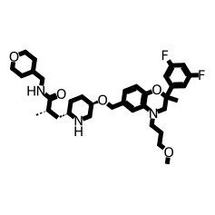 COCCCN1CC(C)(c2cc(F)cc(F)c2)Oc2ccc(CO[C@@H]3CC[C@@H](C[C@H](C)C(=O)NCC4CCOCC4)NC3)cc21